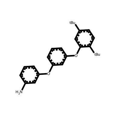 CC(C)(C)c1[c]cc(C(C)(C)C)c(Oc2cccc(Oc3cccc(N)c3)c2)c1